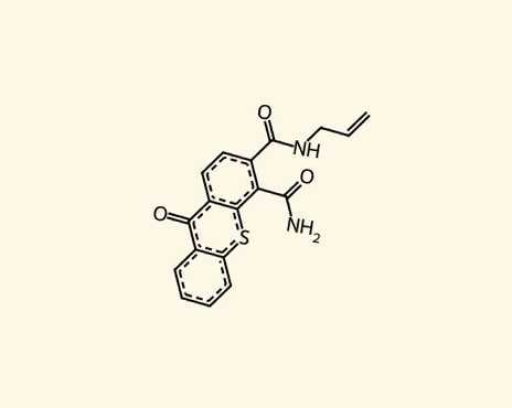 C=CCNC(=O)c1ccc2c(=O)c3ccccc3sc2c1C(N)=O